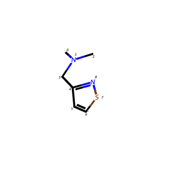 CN(C)Cc1c[c]sn1